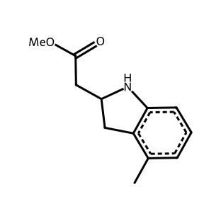 COC(=O)CC1Cc2c(C)cccc2N1